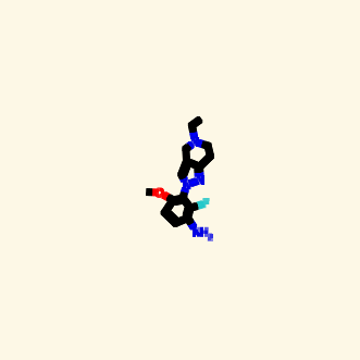 CCN1CCc2nn(-c3c(OC)ccc(N)c3F)cc2C1